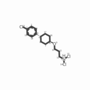 Clc1ccc([C@H]2CC[C@H](OCCC[SiH](Cl)Cl)CC2)cc1